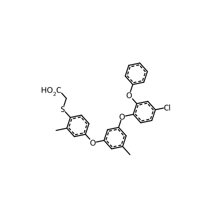 Cc1cc(Oc2ccc(SCC(=O)O)c(C)c2)cc(Oc2ccc(Cl)cc2Oc2ccccc2)c1